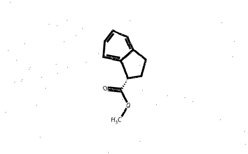 COC(=O)[C@H]1CCc2ccccc21